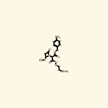 CCSC1CC(=O)N1C(C(=O)OCc1ccc([N+](=O)[O-])cc1)C(=O)SOCCNC(C)=O